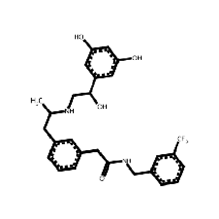 CC(Cc1cccc(CC(=O)NCc2cccc(C(F)(F)F)c2)c1)NCC(O)c1cc(O)cc(O)c1